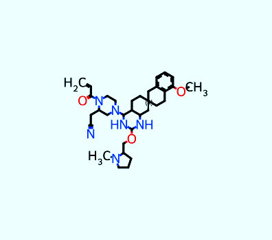 C=CC(=O)N1CCN(C2NC(OCC3CCCN3C)NC3C[C@@]4(CCc5c(cccc5OC)C4)CCC32)CC1CC#N